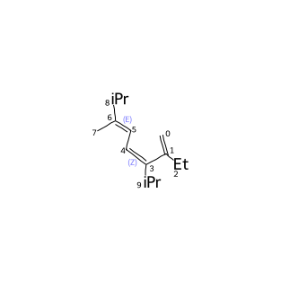 C=C(CC)/C(=C\C=C(/C)C(C)C)C(C)C